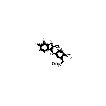 CCOC(=O)Cc1cc(Sc2c(C)[nH]c3c(F)c(Cl)ccc23)ccc1C(F)(F)F